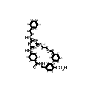 O=C(O)c1ccc(CNC(=O)C2CCC(Nc3nc(NCCSCc4ccccc4)nc(NCCc4ccccc4)n3)CC2)cc1